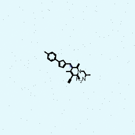 C#CC1=C(C)/C(=C\C2=CC=C(c3ccc(C)cc3)C2)C(=C)N(CC(C)N)C1=C